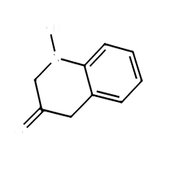 CN1[CH]C(=O)Cc2ccccc21